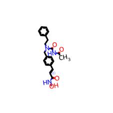 CC(=O)NC(=O)N(CCc1ccccc1)Cc1ccc(/C=C/C(=O)NO)cc1